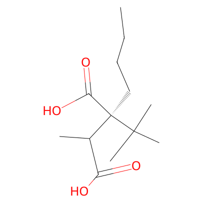 CCCC[C@@](C(=O)O)(C(C)C(=O)O)C(C)(C)C